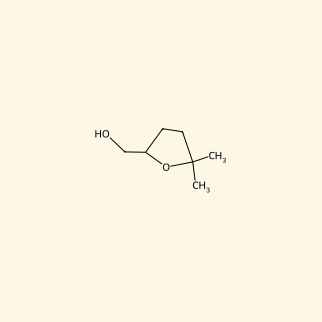 CC1(C)CCC(CO)O1